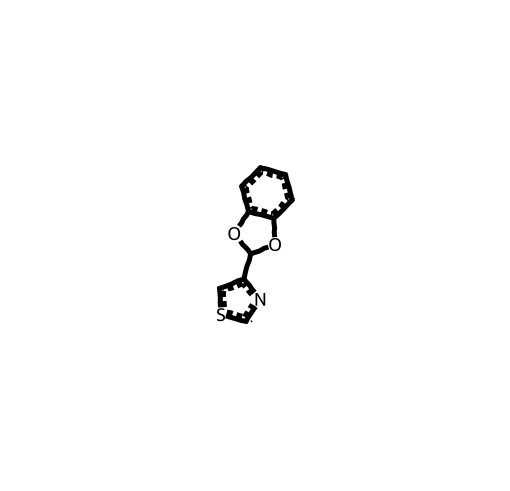 [c]1nc(C2Oc3ccccc3O2)cs1